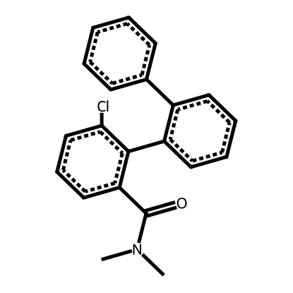 CN(C)C(=O)c1cccc(Cl)c1-c1ccccc1-c1ccccc1